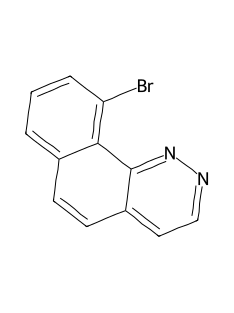 Brc1cccc2ccc3ccnnc3c12